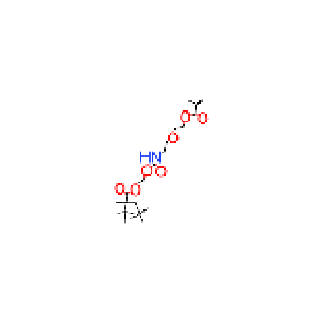 C=C(C)C(=O)OCCOCCNC(=O)OCCOC(=O)C(C)(CC(C)(C)C)C(C)(C)C